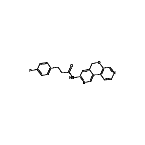 O=C(CCc1ccc(F)cc1)Nc1cc2c(cn1)-c1ccncc1OC2